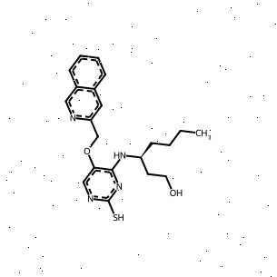 CCCC[C@@H](CCO)Nc1nc(S)ncc1OCc1cc2ccccc2cn1